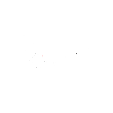 c1ccc(-c2ccc(N(c3cccc4cccc(-c5ccc6c(c5)-c5ccccc5C65C6CC7CC(C6)CC5C7)c34)c3cccc4c3c3ccccc3n4-c3ccccc3)cc2)cc1